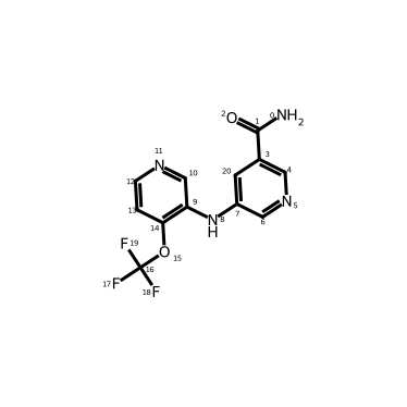 NC(=O)c1cncc(Nc2cnccc2OC(F)(F)F)c1